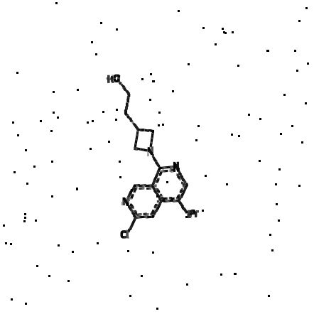 CC(C)c1cnc(N2CC(CCO)C2)c2cnc(Cl)cc12